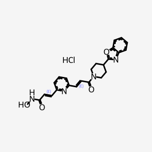 Cl.O=C(/C=C/c1cccc(/C=C/C(=O)N2CCC(c3nc4ccccc4o3)CC2)n1)NO